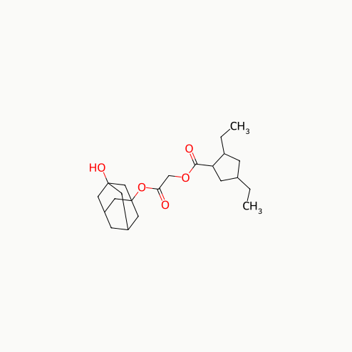 CCC1CC(CC)C(C(=O)OCC(=O)OC23CC4CC(CC(O)(C4)C2)C3)C1